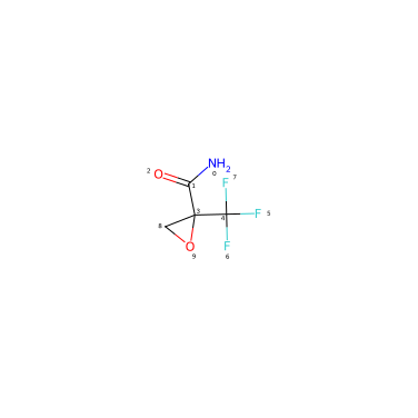 NC(=O)C1(C(F)(F)F)CO1